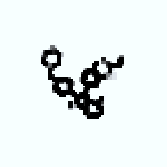 C=CC(=O)Nc1cc(-c2c(-c3ccc(CN4CCOCC4)cc3)[nH]c3nccc(Cl)c23)ccc1C